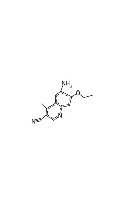 CCOc1cc2ncc(C#N)c(C)c2cc1N